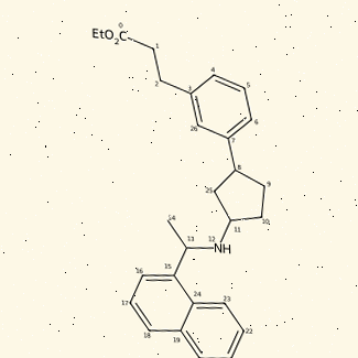 CCOC(=O)CCc1cccc(C2CCC(NC(C)c3cccc4ccccc34)C2)c1